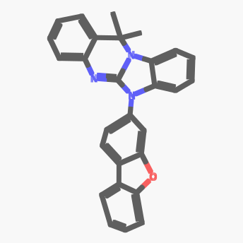 CC1(C)c2ccccc2N=C2N(c3ccc4c(c3)oc3ccccc34)c3ccccc3N21